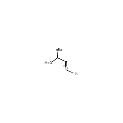 CCCC/C=C/C(CCCC)OC